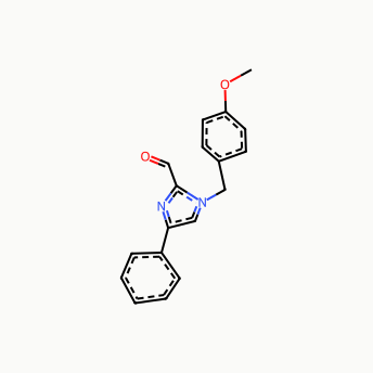 COc1ccc(Cn2cc(-c3ccccc3)nc2C=O)cc1